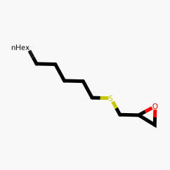 CCCCCCCCCCCSCC1CO1